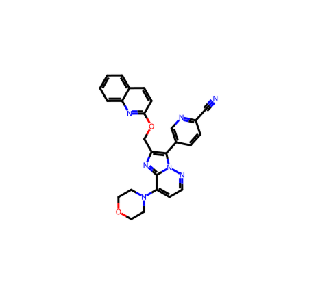 N#Cc1ccc(-c2c(COc3ccc4ccccc4n3)nc3c(N4CCOCC4)ccnn23)cn1